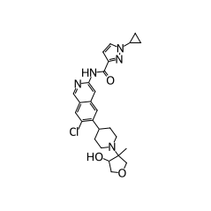 CC1(N2CCC(c3cc4cc(NC(=O)c5ccn(C6CC6)n5)ncc4cc3Cl)CC2)COCC1O